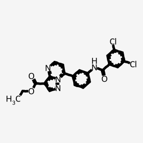 CCOC(=O)c1cnn2c(-c3cccc(NC(=O)c4cc(Cl)cc(Cl)c4)c3)ccnc12